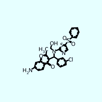 Cc1oc2cc(N)ccc2c(=O)c1C(c1cccc(Cl)c1)N(CO)c1ncc(S(=O)(=O)c2ccccc2)s1